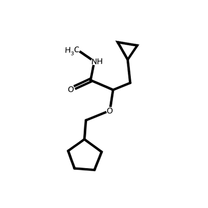 CNC(=O)C(CC1CC1)OCC1CCCC1